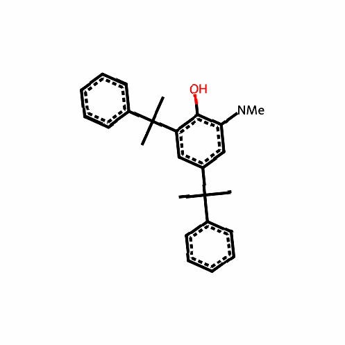 CNc1cc(C(C)(C)c2ccccc2)cc(C(C)(C)c2ccccc2)c1O